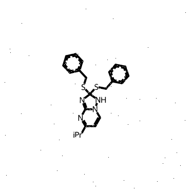 CC(C)C1=NC2=NC(SCc3ccccc3)(SCc3ccccc3)NN2C=C1